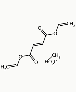 C=COC(=O)/C=C/C(=O)OC=C.CC(=O)O